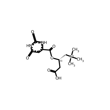 C[N+](C)(C)C[C@H](CC(=O)O)OC(=O)c1cc(=O)[nH]c(=O)[nH]1